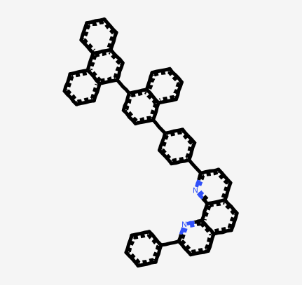 c1ccc(-c2ccc3ccc4ccc(-c5ccc(-c6ccc(-c7cc8ccccc8c8ccccc78)c7ccccc67)cc5)nc4c3n2)cc1